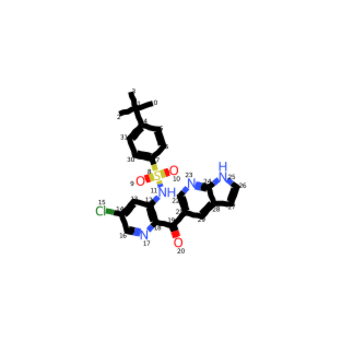 CC(C)(C)c1ccc(S(=O)(=O)Nc2cc(Cl)cnc2C(=O)c2cnc3[nH]ccc3c2)cc1